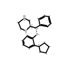 c1ccc([C@H](Oc2ccccc2C2CCCC2)[C@@H]2CNCCO2)cc1